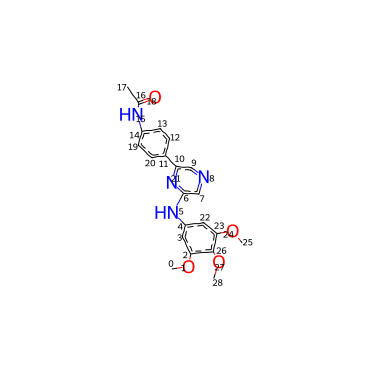 COc1cc(Nc2cncc(-c3ccc(NC(C)=O)cc3)n2)cc(OC)c1OC